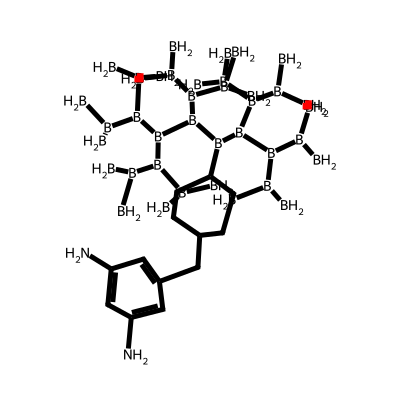 BB(B)B(B(B)B)B(B(B(B)B)B(B)B)B(B(B(B)B)B(B)B)B(B(B(B(B)B)B(B)B)B(B(B)B)B(B)B)C1CCC(Cc2cc(N)cc(N)c2)CC1